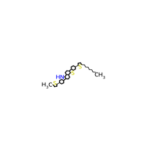 CCCCCCCCc1ccc(-c2ccc3c(c2)sc2c3ccc3c2ccc2c4ccc(-c5ccc(C)s5)cc4[nH]c23)s1